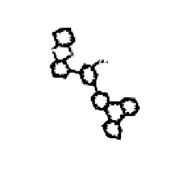 CC(C)(C)c1cc(-c2ccc3c4ccccc4c4ccccc4c3c2)cc(-c2cccc3c2Sc2ccccc2S3)c1